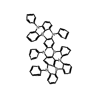 c1ccc(N2c3ccccc3B3c4cc5c(cc4N(c4ccccc4)c4cccc2c43)B2c3ccccc3N3c4ccccc4B4c6ccccc6N(c6ccccc6)c6cc(c2c3c64)N5c2ccccc2)cc1